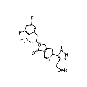 COCc1cnn(C)c1-c1cc2c(cn1)C(=O)N([C@H](CN)Cc1cc(F)cc(F)c1)C2